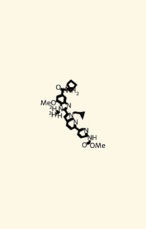 [2H]C([2H])([2H])n1c(-c2cc3ccc(-c4ccc(NC(=O)OC)nc4)nc3n2CC2CC2)nc2cc(C(=O)N3CC4CCC3[C@@H]4N)cc(OC)c21